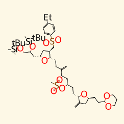 C=C(CC[C@@H](CC[C@@H]1O[C@@H](CCC2OCCCO2)CC1=C)OS(C)(=O)=O)CC[C@@H]1O[C@H](CC(CO[Si](C)(C)C(C)(C)C)O[Si](C)(C)C(C)(C)C)C[C@H]1CS(=O)(=O)c1ccc(CC)cc1